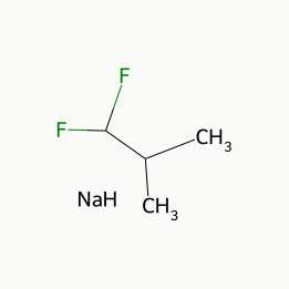 CC(C)C(F)F.[NaH]